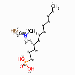 Br.CCCCCCCCCCCCP(=O)(O)O.CN(C)C